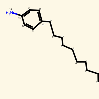 CCCCCC[CH]CCCc1ccc(N)cc1